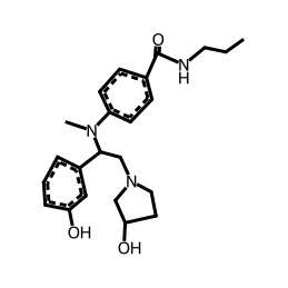 CCCNC(=O)c1ccc(N(C)C(CN2CCC(O)C2)c2cccc(O)c2)cc1